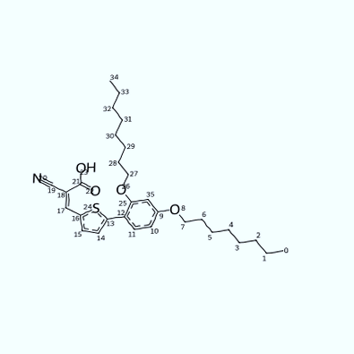 CCCCCCCCOc1ccc(-c2ccc(C=C(C#N)C(=O)O)s2)c(OCCCCCCCC)c1